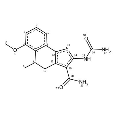 COc1cccc2c1C(C)Cc1c-2sc(NC(N)=O)c1C(N)=O